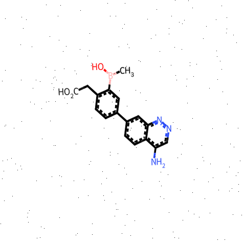 CB(O)c1cc(-c2ccc3c(N)cnnc3c2)ccc1CC(=O)O